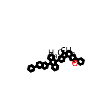 CC1(C)c2cc(-c3c4ccccc4c(-c4ccc5c(c4)CCC(c4ccccc4)=C5)c4ccccc34)ccc2-c2c1ccc1cc3c4c(oc3cc21)CCC=C4